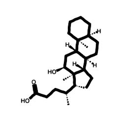 C[C@H](CCC(=O)O)[C@H]1CC[C@H]2[C@@H]3CC[C@@H]4CCCC[C@]4(C)[C@H]3C[C@H](O)[C@]12C